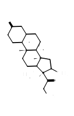 CC(=O)OCC(=O)[C@@]1(O)C(C)C[C@@]2(F)[C@@H]3CCC4CC(=O)CC[C@]4(C)[C@H]3CC[C@]12C